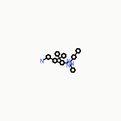 N#Cc1cccc(-c2ccc3c(c2)C(c2ccccc2)(c2ccccc2)c2cc(-c4nc(-c5ccccc5)nc(-c5ccc(-c6ccccc6)cc5)n4)ccc2-3)c1